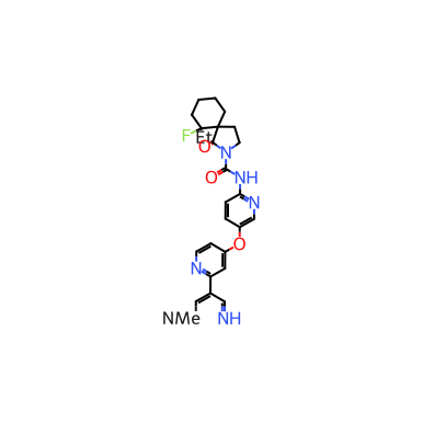 CCC1(F)CCCCC12CCN(C(=O)Nc1ccc(Oc3ccnc(/C(C=N)=C/NC)c3)cn1)C2=O